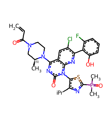 C=CC(=O)N1CCN(c2nc(=O)n(-c3sc(P(C)(C)=O)nc3C(C)C)c3nc(-c4c(O)cccc4F)c(Cl)cc23)[C@@H](C)C1